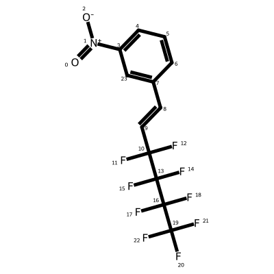 O=[N+]([O-])c1cccc(C=CC(F)(F)C(F)(F)C(F)(F)C(F)(F)F)c1